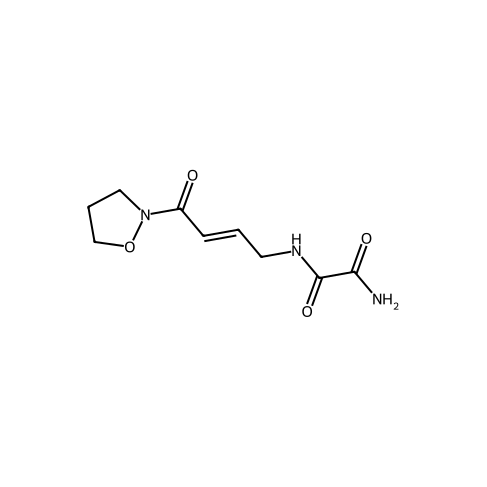 NC(=O)C(=O)NC/C=C/C(=O)N1CCCO1